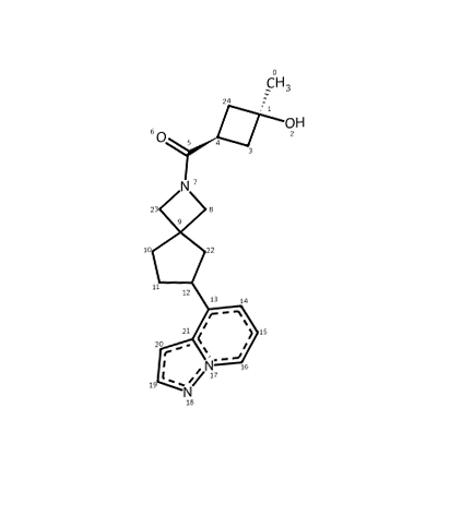 C[C@]1(O)C[C@@H](C(=O)N2CC3(CCC(c4cccn5nccc45)C3)C2)C1